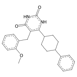 COc1ccccc1Cc1c(C2CCC(c3ccccc3)CC2)[nH]c(=O)[nH]c1=O